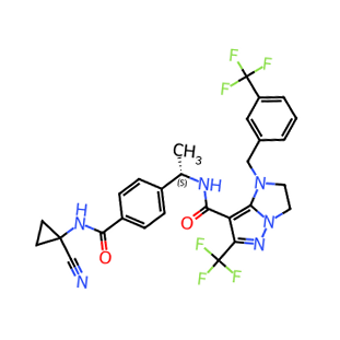 C[C@H](NC(=O)c1c(C(F)(F)F)nn2c1N(Cc1cccc(C(F)(F)F)c1)CC2)c1ccc(C(=O)NC2(C#N)CC2)cc1